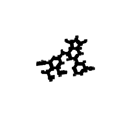 COc1cc(Oc2nc(-c3ccc[n+]([O-])c3)nn3c(C)nc(C)c23)cc(OC)c1C(C)O